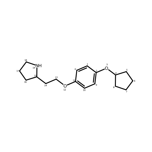 c1cc(OC2CCCC2)ccc1OCCC1CCCN1